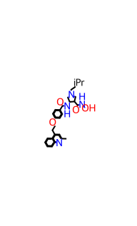 Cc1cc(CCOc2ccc(C(=O)NC3CN(CCC(C)C)CC3C(=O)NO)cc2)c2ccccc2n1